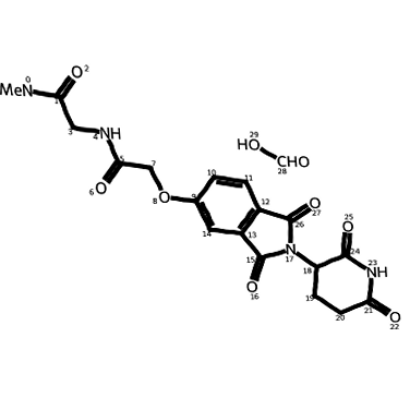 CNC(=O)CNC(=O)COc1ccc2c(c1)C(=O)N(C1CCC(=O)NC1=O)C2=O.O=CO